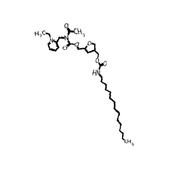 CCCCCCCCCCCCCCCNC(=O)OCC1COC(COC(=O)N(Cc2cccc[n+]2CC)C(C)=O)C1